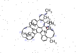 C=C1/C=C\C=C/C/C(C)=C/C=C\c2c(C)n1c1c3c(c4c(c5cccc6c5n4C(=C)/C=C\C=C/C6C)c21)C(/C=C\C)=C(C)\C(C)=C(\C=C/C=C\C)c1ccccc1-3